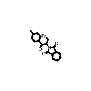 Cc1ccc(C(=O)C(CC(C)C)N2C(=O)c3ccccc3C2=O)cc1